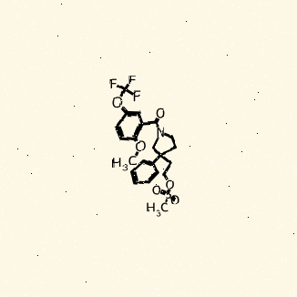 COc1ccc(OC(F)(F)F)cc1C(=O)N1CCC(CCOS(C)(=O)=O)(c2ccccc2)C1